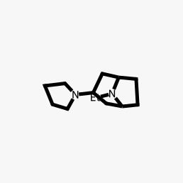 CCN1C2CCC1CC(N1CCCC1)C2